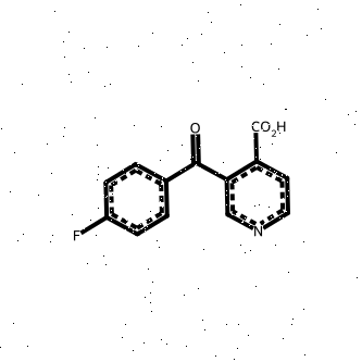 O=C(O)c1ccncc1C(=O)c1ccc(F)cc1